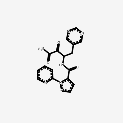 NC(=O)C(=O)C(Cc1cncnc1)NC(=O)c1ccnn1-c1ccccn1